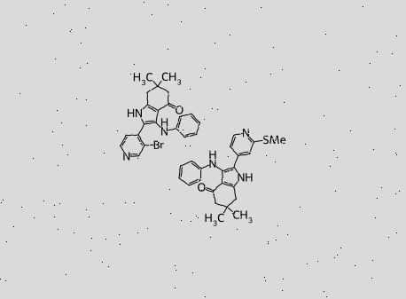 CC1(C)CC(=O)c2c([nH]c(-c3ccncc3Br)c2Nc2ccccc2)C1.CSc1cc(-c2[nH]c3c(c2Nc2ccccc2)C(=O)CC(C)(C)C3)ccn1